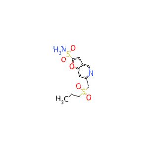 CCCS(=O)(=O)Cc1cc2oc(S(N)(=O)=O)cc2cn1